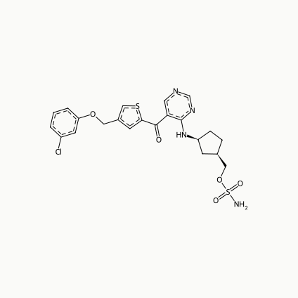 NS(=O)(=O)OC[C@@H]1CC[C@H](Nc2ncncc2C(=O)c2cc(COc3cccc(Cl)c3)cs2)C1